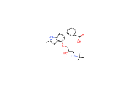 Cc1cc2c(OCC(O)CNC(C)(C)C)cccc2[nH]1.O=C(O)c1ccccc1